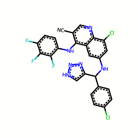 N#Cc1cnc2c(Cl)cc(NC(c3ccc(Cl)cc3)c3c[nH]nn3)cc2c1Nc1ccc(F)c(F)c1F